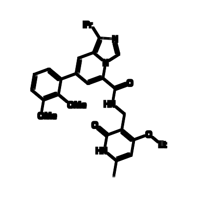 CCOc1cc(C)[nH]c(=O)c1CNC(=O)c1cc(-c2cccc(OC)c2OC)cc2c(C(C)C)ncn12